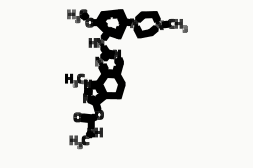 CNC(=O)Oc1nn(C)c2c1CCc1cnc(Nc3cc(N4CCN(C)CC4)ccc3OC)nc1-2